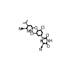 CC(C)c1cc(Oc2c(Cl)cc(-n3nc(C#N)c(=O)[nH]c3=O)cc2Cl)nnc1C#N